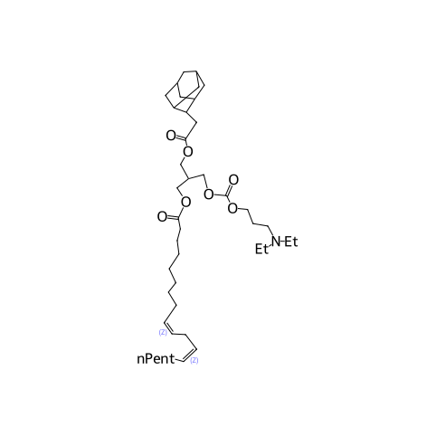 CCCCC/C=C\C/C=C\CCCCCCCC(=O)OCC(COC(=O)CC1C2CC3CC(C2)CC1C3)COC(=O)OCCCN(CC)CC